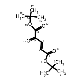 CC(C)(C)OC(=O)C=CC(=O)C(=O)OC(C)(C)C